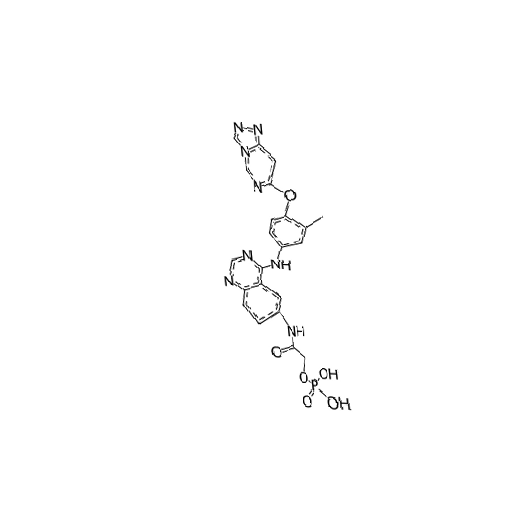 Cc1cc(Nc2ncnc3ccc(NC(=O)COP(=O)(O)O)cc23)ccc1Oc1cc2nncn2cn1